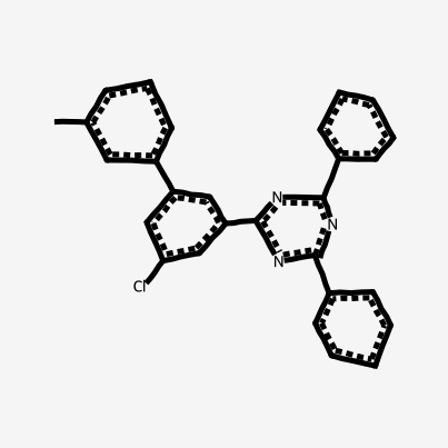 Cc1cccc(-c2cc(Cl)cc(-c3nc(-c4ccccc4)nc(-c4ccccc4)n3)c2)c1